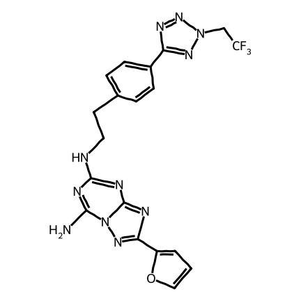 Nc1nc(NCCc2ccc(-c3nnn(CC(F)(F)F)n3)cc2)nc2nc(-c3ccco3)nn12